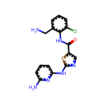 NCc1cccc(Cl)c1NC(=O)c1cnc(Nc2cccc(N)n2)s1